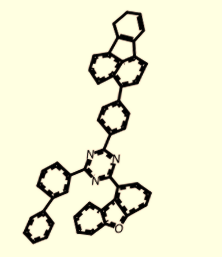 C1=CC2=C(CC1)c1cccc3c(-c4ccc(-c5nc(-c6cccc(-c7ccccc7)c6)nc(-c6cccc7oc8ccccc8c67)n5)cc4)ccc2c13